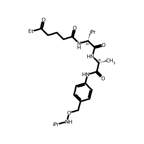 CCC(=O)CCCC(=O)N[C@@H](C(=O)N[C@H](C)C(=O)Nc1ccc(CONC(C)C)cc1)C(C)C